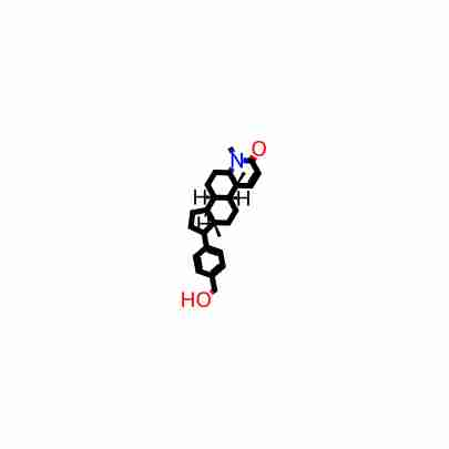 CN1C(=O)C=C[C@@]2(C)C1CC[C@@H]1[C@H]2CC[C@]2(C)C(c3ccc(CO)cc3)CC[C@@H]12